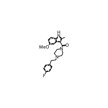 COc1ccc2[nH]c(C)c(C(=O)N3CCN(CCc4ccc(F)cc4)CC3)c2c1